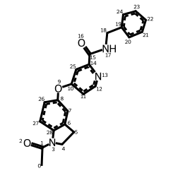 CC(=O)N1CCc2cc(Oc3ccnc(C(=O)NCc4ccccc4)c3)ccc21